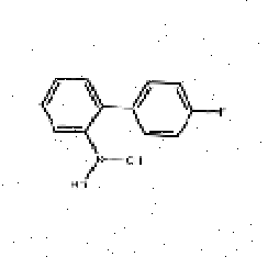 OB(O)c1ccccc1-c1ccc(F)cc1